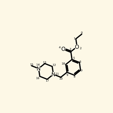 CCOC(=O)c1cccc(CN2CCN(C)CC2)c1